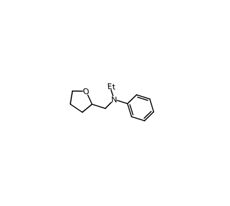 CCN(CC1CCCO1)c1ccccc1